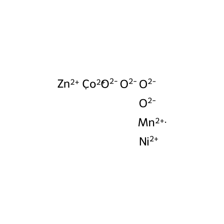 [Co+2].[Mn+2].[Ni+2].[O-2].[O-2].[O-2].[O-2].[Zn+2]